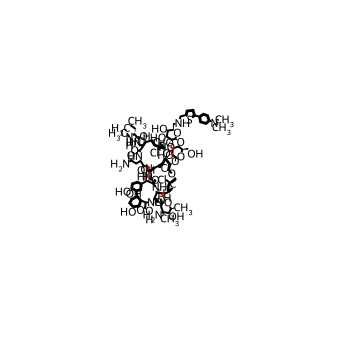 CN[C@H](CC(C)C)C(=O)NC1C(=O)NC(CC(N)=O)C(=O)N[C@H]2C(=O)N[C@H]3C(=O)N[C@H](C(=O)NC(C(=O)O)c4cc(O)cc(O)c4-c4cc3ccc4O)[C@H](OC3C[C@](C)(N)[C@@H](O)[C@H](C)O3)c3ccc(c(Cl)c3)Oc3cc2cc(c3O[C@@H]2O[C@H](CO)[C@@H](O[C@@H]3O[C@H](CNCc4ccc(-c5ccc(N(C)C)cc5)s4)[C@H](O)[C@H](O)[C@H]3O)[C@H](O)[C@H]2O)Oc2ccc(cc2Cl)[C@H]1O